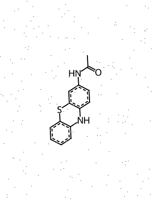 CC(=O)Nc1ccc2c(c1)Sc1ccccc1N2